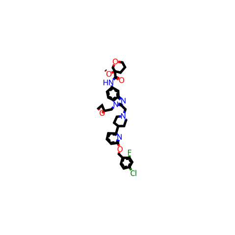 COC1(C(=O)Nc2ccc3c(c2)nc(CN2CCC(c4cccc(OCc5ccc(Cl)cc5F)n4)CC2)n3CC2CCO2)CCCOC1